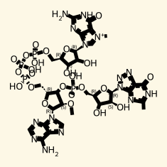 CO[C@H]1C(OP(=O)(O)OC[C@H]2O[C@@H](n3nnc4c(=O)[nH]c(C)nc43)[C@@H](O)C2O)[C@@H](COP(=O)(O)OP(=O)(O)OP(=O)(O)OC[C@H]2O[C@@H](n3c[n+](C)c4c(=O)[nH]c(N)nc43)C(O)[C@H]2O)O[C@H]1n1cnc2c(N)ncnc21